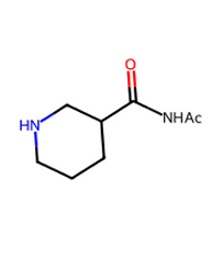 CC(=O)NC(=O)C1CCCNC1